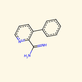 N=C(N)c1ncccc1-c1c[c]ccc1